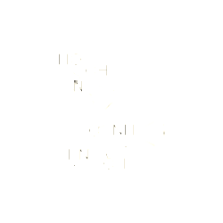 NC[C@H](O)[C@H](Cc1ccccc1)NC(=O)c1cc(C2CCCC2)cc(N2CCCS2(O)O)c1